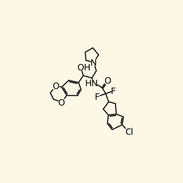 O=C(NC(CN1CCCC1)C(O)c1ccc2c(c1)OCCO2)C(F)(F)C1Cc2ccc(Cl)cc2C1